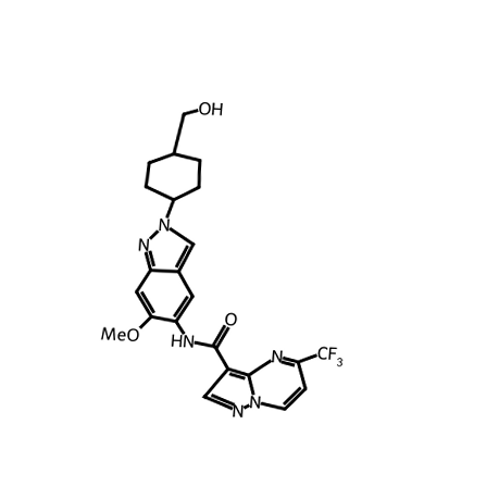 COc1cc2nn(C3CCC(CO)CC3)cc2cc1NC(=O)c1cnn2ccc(C(F)(F)F)nc12